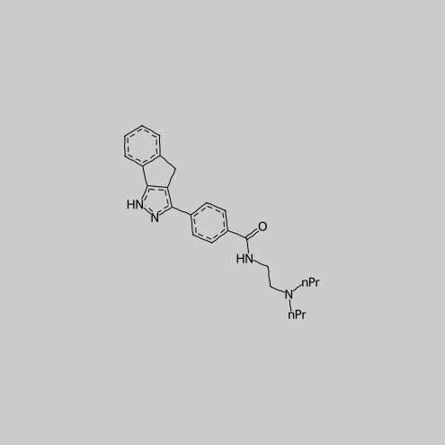 CCCN(CCC)CCNC(=O)c1ccc(-c2n[nH]c3c2Cc2ccccc2-3)cc1